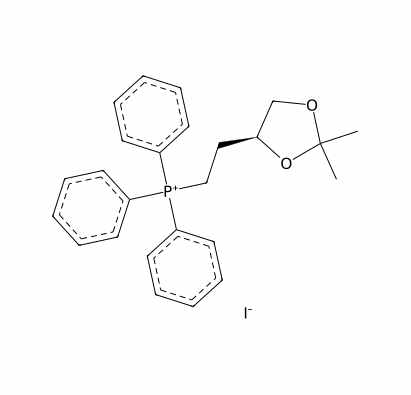 CC1(C)OC[C@H](CC[P+](c2ccccc2)(c2ccccc2)c2ccccc2)O1.[I-]